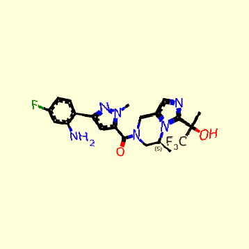 C[C@H]1CN(C(=O)c2cc(-c3ccc(F)cc3N)nn2C)Cc2cnc(C(C)(O)C(F)(F)F)n21